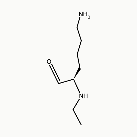 CCN[C@@H](C=O)CCCCN